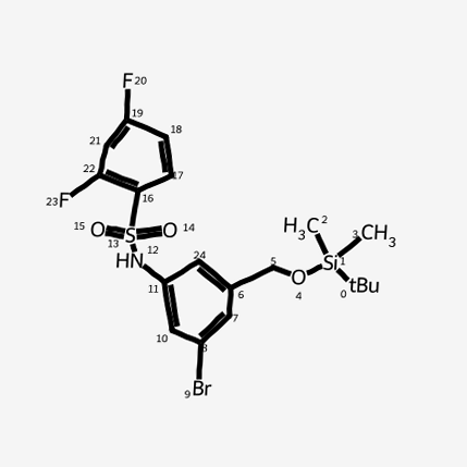 CC(C)(C)[Si](C)(C)OCc1cc(Br)cc(NS(=O)(=O)c2ccc(F)cc2F)c1